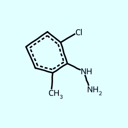 Cc1cccc(Cl)c1NN